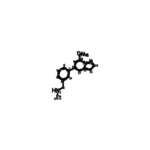 CCNCc1cccc(-c2cc(OC)n3nccc3c2)c1